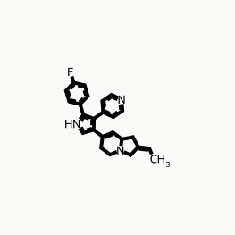 CC=C1CC2C=C(c3c[nH]c(-c4ccc(F)cc4)c3-c3ccncc3)CCN2C1